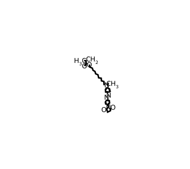 C=C(C)C(=O)OCCCCCCCCCCCN(C)c1ccc(N=Nc2ccc(N3C(=O)CCC3=O)cc2)cc1